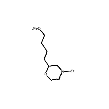 CCN1CCOC(CCCCOC)C1